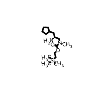 CN(C[C@@H](N)CC1CCCC1)C(=O)OCC[Si](C)(C)C